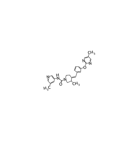 Cc1cnc(Oc2cccc(/C=C3\CCN(C(=O)Nc4cncc(C)c4)CC3C)c2)nc1